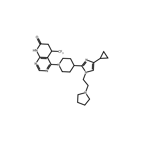 O=C1CC(C(F)(F)F)c2c(ncnc2N2CCC(c3nc(C4CC4)cn3CCN3CCCC3)CC2)N1